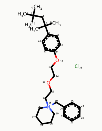 CC(C)(C)CC(C)(C)c1ccc(OCCOCC[N+]2(Cc3ccccc3)CCCCC2)cc1.[Cl-]